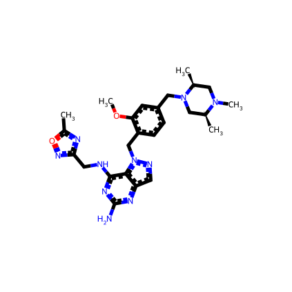 COc1cc(CN2C[C@H](C)N(C)C[C@@H]2C)ccc1Cn1ncc2nc(N)nc(NCc3noc(C)n3)c21